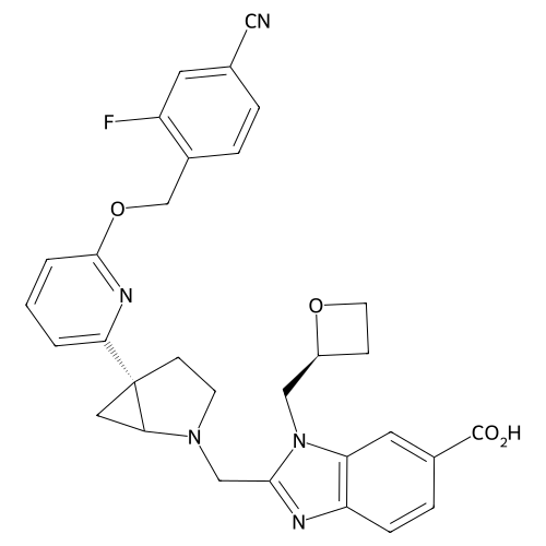 N#Cc1ccc(COc2cccc([C@]34CCN(Cc5nc6ccc(C(=O)O)cc6n5C[C@@H]5CCO5)C3C4)n2)c(F)c1